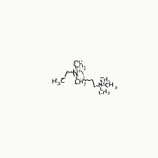 CC[N+](C)(C)CCCC[N+](C)(C)C